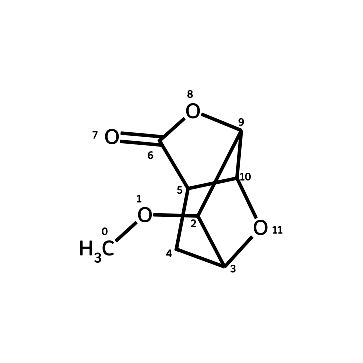 COC1C2CC3C(=O)OC1C3O2